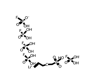 C=CCCCS(=O)(=O)O.O=P(O)(O)F.O=P(O)(O)F.O=P(O)(O)F.O=P(O)(O)F.O=P([O-])(O)F.[Li+]